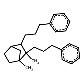 CC12CCC(C1)C(CCCc1ccccc1)C2(C)CCCc1ccccc1